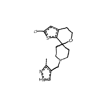 Cc1n[nH]cc1CN1CCC2(CC1)OCCc1cc(Cl)sc12